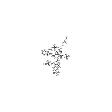 CCOC(=O)CCCCCNC(=O)C1(C(=O)NCCS(=O)(=O)O)CC(/C=C/C2(C)N(CCCS(=O)(=O)O)c3ccc(S(=O)(=O)O)cc3C2(C)C)=CC(=C/C=C2\Sc3ccccc3N2CCCS(=O)(=O)O)/C1